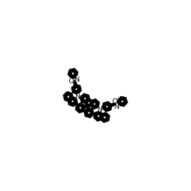 c1ccc(C2(c3ccccc3)c3cc(N(c4ccc(-c5nc6ccccc6o5)cc4)c4cccc5ccccc45)ccc3-c3ccc(N(c4ccc(-c5nc6ccccc6o5)cc4)c4cccc5ccccc45)cc32)cc1